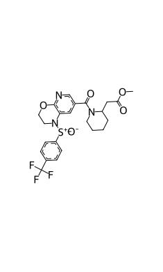 COC(=O)CC1CCCCN1C(=O)c1cnc2c(c1)N([S+]([O-])c1ccc(C(F)(F)F)cc1)CCO2